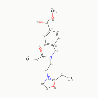 CCC(=O)N(CC[N+]1=C(CC)OCC1)Cc1ccc(C(=O)OC)cc1